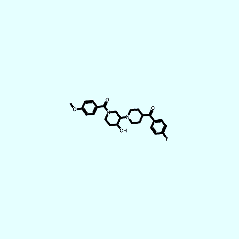 COc1ccc(C(=O)N2CCC(O)C(N3CCC(C(=O)c4ccc(F)cc4)CC3)C2)cc1